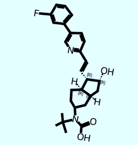 CC(C)(C)N(C(=O)O)C1CC[C@@H]2[C@H](C1)C[C@@H](O)[C@H]2C=Cc1ccc(-c2cccc(F)c2)cn1